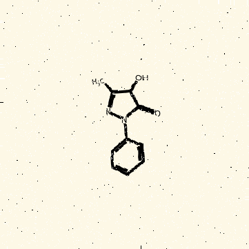 CC1=NN(c2ccccc2)C(=O)C1O